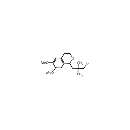 COc1cc2c(cc1OC)C(CC(C)(C)CBr)OCC2